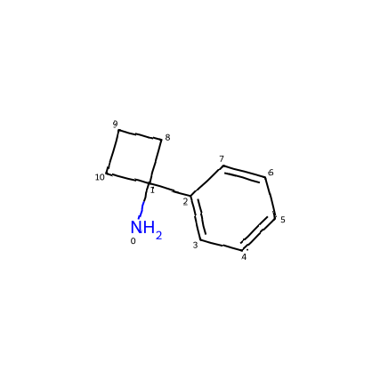 NC1(c2c[c]ccc2)CCC1